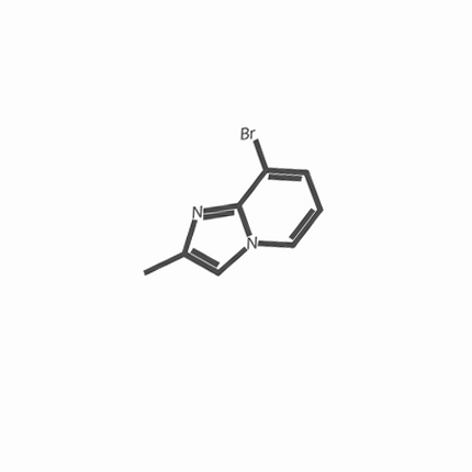 Cc1cn2cccc(Br)c2n1